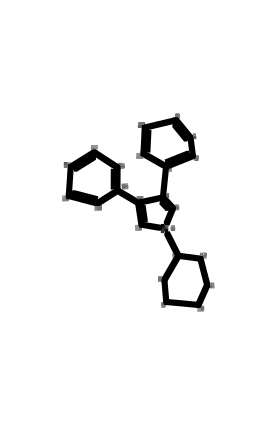 c1ccc(-c2cn(C3CCCCC3)cc2-c2ccccc2)cc1